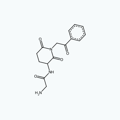 NCC(=O)NC1CCC(=O)N(CC(=O)c2ccccc2)C1=O